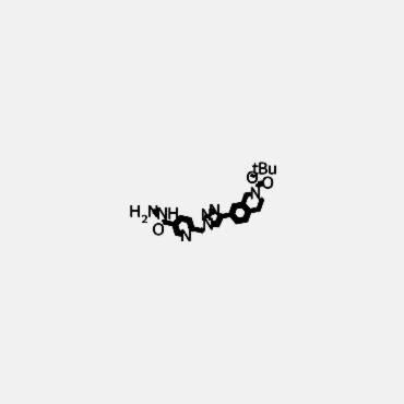 CC(C)(C)OC(=O)N1CCc2ccc(-c3cn(Cc4ccc(C(=O)NN)cn4)nn3)cc2C1